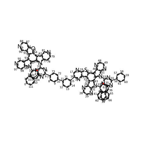 c1ccc(-c2nc(-c3ccc(-c4cccc(-c5cnc6sc7c(c6n5)c5c6nccnc6n(-c6cccc8ccccc68)c5c5c7c6nccnc6n5-c5nc(-c6ccccc6)nc(-c6ccccc6)n5)c4)cc3)nc(-n3c4ccncc4c4c5oc6ccncc6c5c5c6cnccc6n(-c6ccccc6)c5c43)n2)cc1